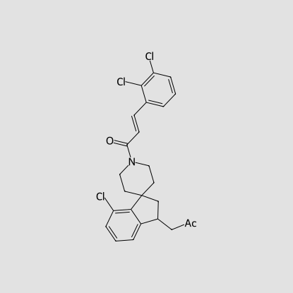 CC(=O)CC1CC2(CCN(C(=O)/C=C/c3cccc(Cl)c3Cl)CC2)c2c(Cl)cccc21